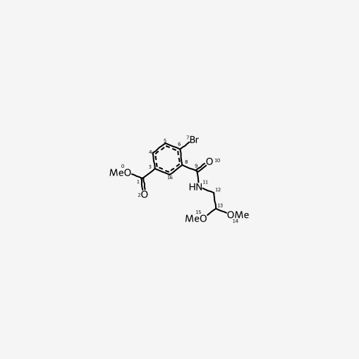 COC(=O)c1ccc(Br)c(C(=O)NCC(OC)OC)c1